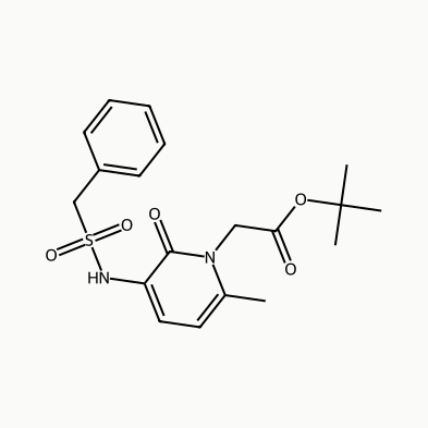 Cc1ccc(NS(=O)(=O)Cc2ccccc2)c(=O)n1CC(=O)OC(C)(C)C